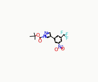 CC(C)(C)OC(=O)n1cc(-c2cc([N+](=O)[O-])cc(C(F)(F)F)c2)cn1